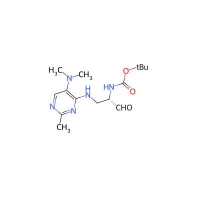 Cc1ncc(N(C)C)c(NC[C@@H](C=O)NC(=O)OC(C)(C)C)n1